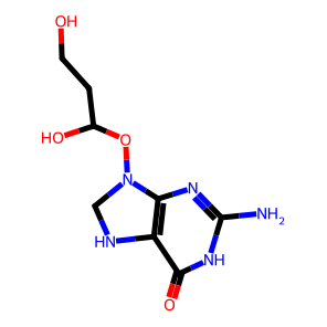 Nc1nc2c(c(=O)[nH]1)NCN2OC(O)CCO